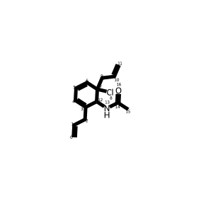 C=CCC1=CC=CC(Cl)(CC=C)C1NC(C)=O